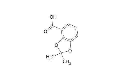 CC1(C)Oc2cccc(C(=O)O)c2O1